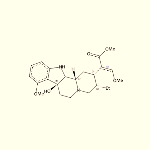 CC[C@@H]1CN2CC[C@]3(O)c4c(cccc4OC)NC3[C@@H]2C[C@@H]1/C(=C\OC)C(=O)OC